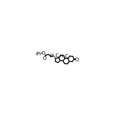 CC(C)OC(=O)CCC[C@H]1CCC2C3CCC4CC(=O)CC[C@]4(C)C3CC[C@@]21C